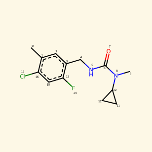 Cc1cc(CNC(=O)N(C)C2CC2)c(F)cc1Cl